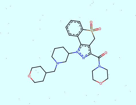 O=C(c1nn(C2CCCN(CC3CCOCC3)C2)c2c1CS(=O)(=O)c1ccccc1-2)N1CCOCC1